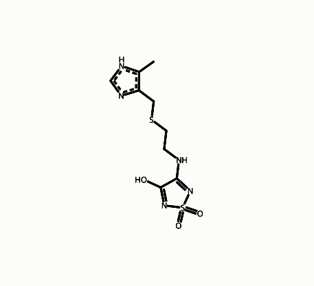 Cc1[nH]cnc1CSCCNC1=NS(=O)(=O)N=C1O